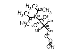 CC(C)N(C(C)C)S(=O)(=O)C(F)(F)SOOO